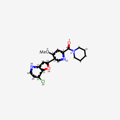 COc1cc(C(=O)N2CCCCC2)ncc1-c1cc2nccc(Cl)c2o1